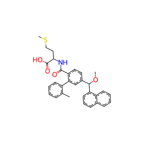 COC(c1ccc(C(=O)NC(CCSC)C(=O)O)c(-c2ccccc2C)c1)c1cccc2ccccc12